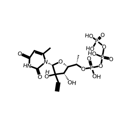 C#CC1(O)[C@@H](O)[C@@H]([C@H](C)OP(=O)(O)OP(=O)(O)OP(=O)(O)O)O[C@H]1n1c(C)cc(=O)[nH]c1=O